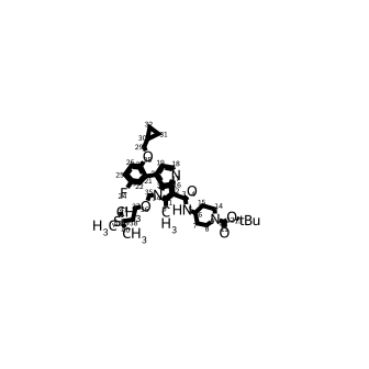 Cc1c(C(=O)NC2CCN(C(=O)OC(C)(C)C)CC2)c2nccc(-c3cc(F)ccc3OCC3CC3)c2n1COCC[Si](C)(C)C